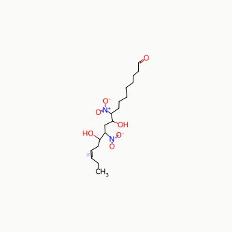 CC/C=C\CC(O)C(CC(O)C(CCCCCCCC=O)[N+](=O)[O-])[N+](=O)[O-]